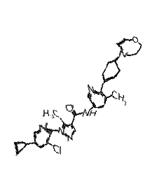 Cc1cc(NC(=O)c2cnn(-c3ncc(C4CC4)cc3Cl)c2C)cnc1C1=CCC(N2CCOCC2)CC1